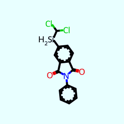 O=C1c2ccc([SiH2]C(Cl)Cl)cc2C(=O)N1c1ccccc1